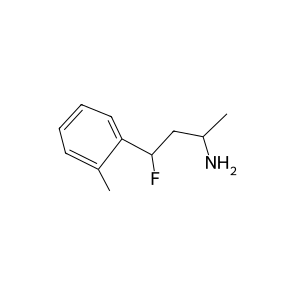 Cc1ccccc1C(F)CC(C)N